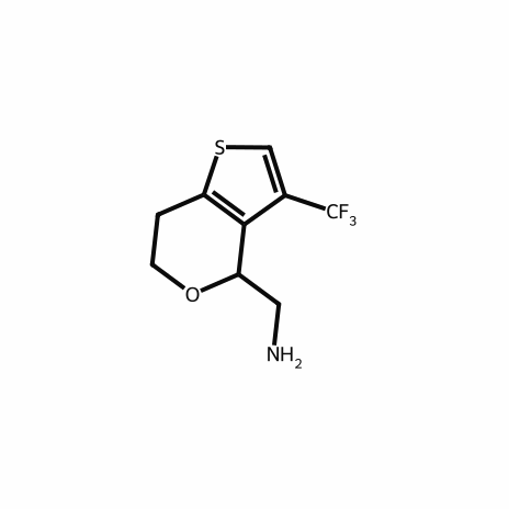 NCC1OCCc2scc(C(F)(F)F)c21